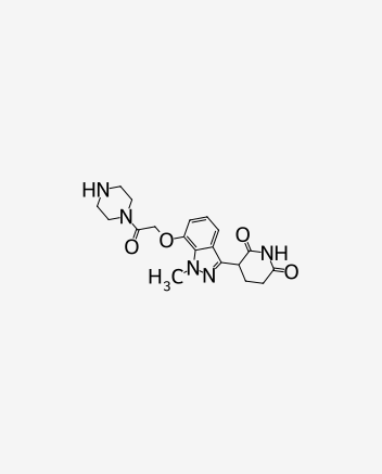 Cn1nc(C2CCC(=O)NC2=O)c2cccc(OCC(=O)N3CCNCC3)c21